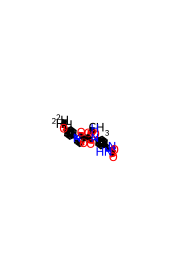 [2H]C([2H])([2H])Oc1ccc(N2CCO[C@H]([C@@H](OC(C)=O)C(=O)Nc3ccc(-c4noc(=O)[nH]4)cc3)C2=O)cc1